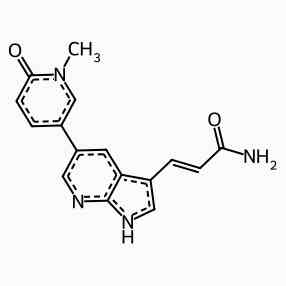 Cn1cc(-c2cnc3[nH]cc(C=CC(N)=O)c3c2)ccc1=O